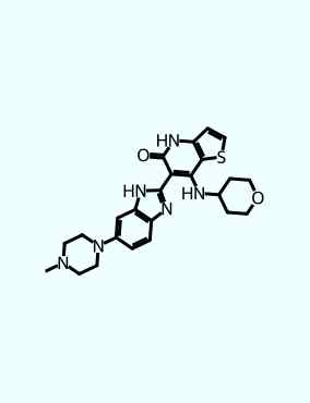 CN1CCN(c2ccc3nc(-c4c(NC5CCOCC5)c5sccc5[nH]c4=O)[nH]c3c2)CC1